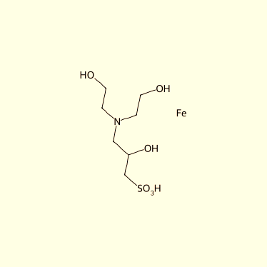 O=S(=O)(O)CC(O)CN(CCO)CCO.[Fe]